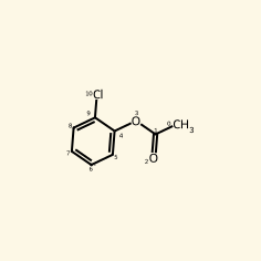 CC(=O)Oc1c[c]ccc1Cl